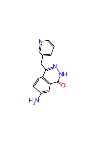 Nc1ccc2c(Cc3cccnc3)n[nH]c(=O)c2c1